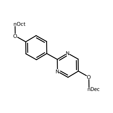 CCCCCCCCCCOc1cnc(-c2ccc(OCCCCCCCC)cc2)nc1